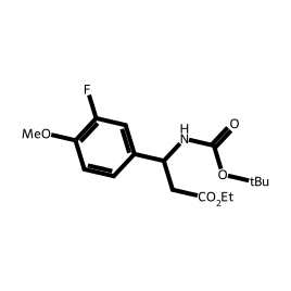 CCOC(=O)CC(NC(=O)OC(C)(C)C)c1ccc(OC)c(F)c1